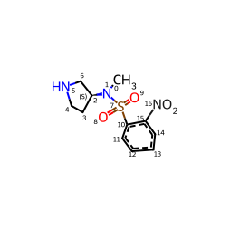 CN([C@H]1CCNC1)S(=O)(=O)c1ccccc1[N+](=O)[O-]